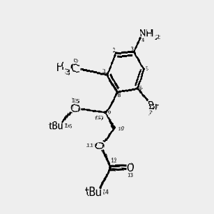 Cc1cc(N)cc(Br)c1[C@@H](COC(=O)C(C)(C)C)OC(C)(C)C